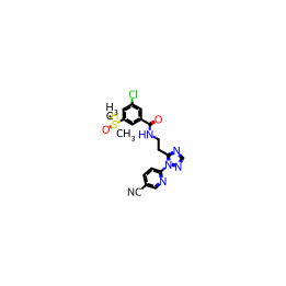 C[SH](C)(=O)c1cc(Cl)cc(C(=O)NCCc2ncnn2-c2ccc(C#N)cn2)c1